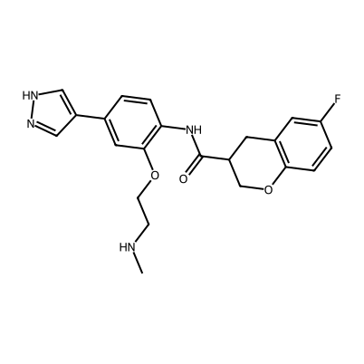 CNCCOc1cc(-c2cn[nH]c2)ccc1NC(=O)C1COc2ccc(F)cc2C1